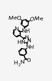 COc1cc(Nc2ncccc2-c2nnc(Nc3cccc(C(N)=O)c3)[nH]2)cc(OC)c1